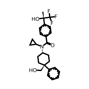 C[C@](O)(c1ccc(C(=O)N(C2CC2)[C@H]2CC[C@@](CO)(c3ccccc3)CC2)cc1)C(F)(F)F